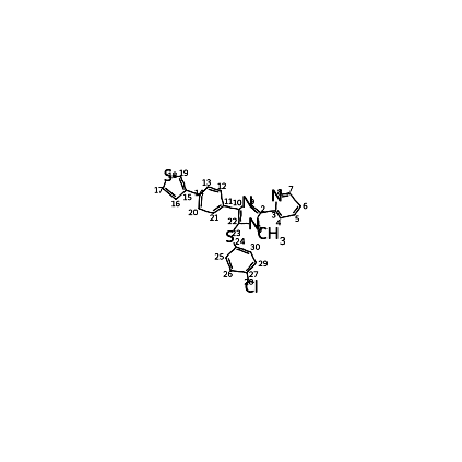 Cn1c(-c2ccccn2)nc(-c2ccc(-c3ccsc3)cc2)c1Sc1ccc(Cl)cc1